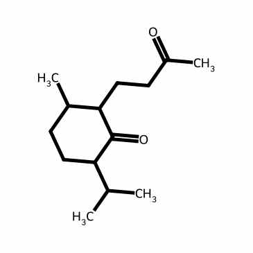 CC(=O)CCC1C(=O)C(C(C)C)CCC1C